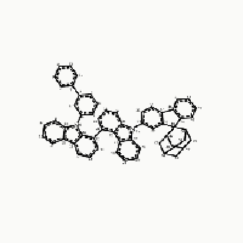 c1ccc(-c2cccc(-n3c4ccccc4c4cccc(-c5cccc6c5c5ccccc5n6-c5ccc6c(c5)C5(c7ccccc7-6)C6CC7CC(C6)CC5C7)c43)c2)cc1